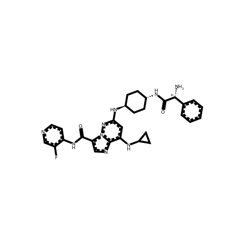 N[C@@H](C(=O)N[C@H]1CC[C@H](Nc2cc(NC3CC3)c3ncc(C(=O)Nc4ccncc4F)n3n2)CC1)c1ccccc1